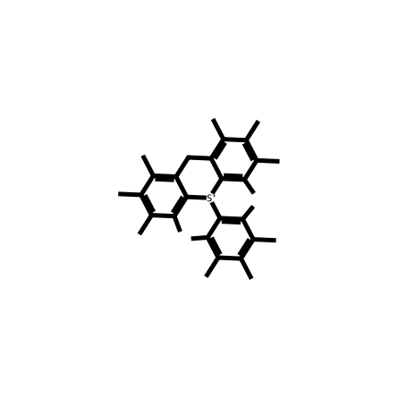 Cc1c(C)c(C)c([S+]2c3c(C)c(C)c(C)c(C)c3Cc3c(C)c(C)c(C)c(C)c32)c(C)c1C